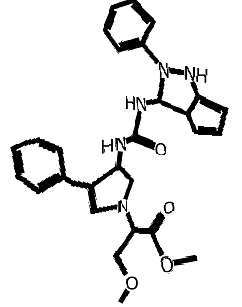 COCC(C(=O)OC)N1CC(NC(=O)NC2C3C=CC=C3NN2c2ccccc2)C(c2ccccc2)C1